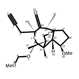 C#CC[C@]1(C)C[C@@H](OCOC)[C@]2(C)[C@H](C)CC[C@]3(CC[C@@H](OC)[C@@H]32)[C@@H](C)C1=O